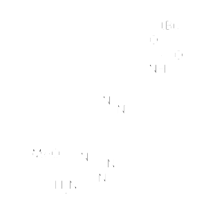 COc1cc(Cn2cc(CNC(=O)OC(C)(C)C)cn2)cc2nnc(N)n12